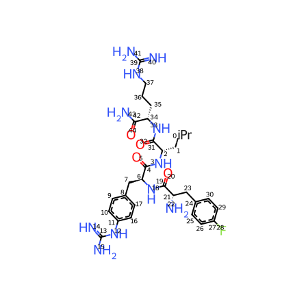 CC(C)C[C@H](NC(=O)[C@H](Cc1ccc(NC(=N)N)cc1)NC(=O)[C@@H](N)Cc1ccc(F)cc1)C(=O)N[C@@H](CCCNC(=N)N)C(N)=O